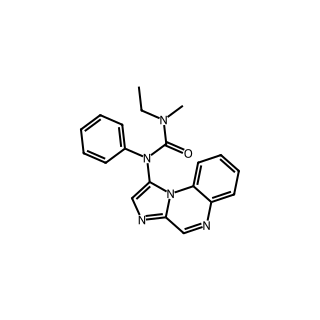 CCN(C)C(=O)N(c1ccccc1)c1cnc2cnc3ccccc3n12